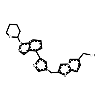 OCc1ccc2nc(Cn3cnc(-c4cccc5c4cnn5C4CCCCO4)c3)cn2c1